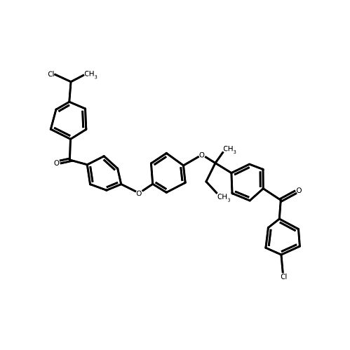 CCC(C)(Oc1ccc(Oc2ccc(C(=O)c3ccc(C(C)Cl)cc3)cc2)cc1)c1ccc(C(=O)c2ccc(Cl)cc2)cc1